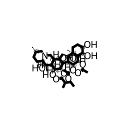 CCC(C)C(=O)O[C@H]1[C@H](O)[C@H]2[C@@H](CN3C[C@@H](C)CC[C@H]3[C@@]2(C)O)[C@@H]2C[C@@]34O[C@@]5(O)[C@@H]([C@@H](OC(C)=O)[C@@H](OC(C)=O)[C@H]3[C@@]21O)[C@]4(C)CC[C@@H]5O